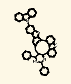 c1ccc(C2N=C3c4cccc5sc6cccc(c6c45)-c4cc(cc5c4sc4cc(-n6c7ccccc7c7ccccc76)ccc45)CC3C(c3ccccc3)N2)cc1